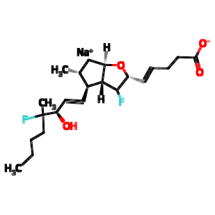 CCCCC(C)(F)[C@H](O)/C=C/[C@@H]1[C@H]2C(F)[C@@H](/C=C/CCC(=O)[O-])O[C@@H]2C[C@H]1C.[Na+]